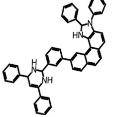 C1=C(c2ccccc2)NC(c2cccc(-c3ccc4ccc5ccc6c(c5c4c3)NC(c3ccccc3)N6c3ccccc3)c2)NC1c1ccccc1